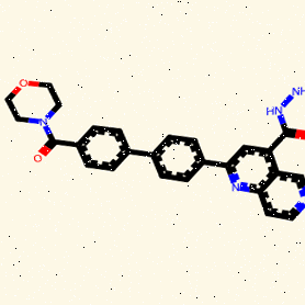 NNC(=O)c1cc(-c2ccc(-c3ccc(C(=O)N4CCOCC4)cc3)cc2)nc2ccncc12